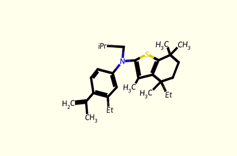 C=C(C)c1ccc(N(CC(C)C)c2sc3c(c2C)C(C)(CC)CCC3(C)C)cc1CC